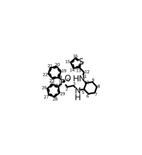 O=P(CCNC1CCCCC1NCc1cccs1)(c1ccccc1)c1ccccc1